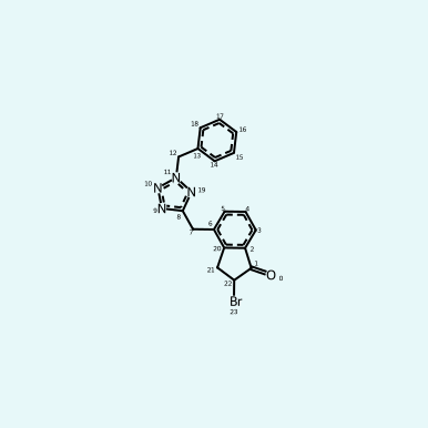 O=C1c2cccc(Cc3nnn(Cc4ccccc4)n3)c2CC1Br